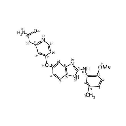 COc1ccc(C)cc1Nc1nc2cc(Oc3ccnc(CC(N)=O)c3)ccc2[nH]1